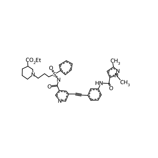 CCOC(=O)C1CCCN(CCCS(=O)(=NC(=O)c2cncc(C#Cc3cccc(NC(=O)c4cc(C)nn4C)c3)c2)c2ccccc2)C1